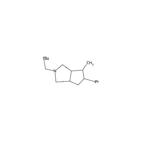 CC(C)C1CC2CN(CC(C)(C)C)CC2C1C